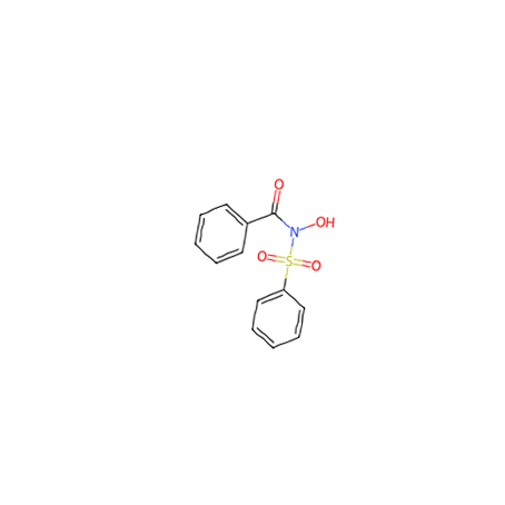 O=C(c1ccccc1)N(O)S(=O)(=O)c1ccccc1